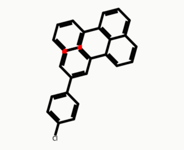 Clc1ccc(-c2cccc(-c3cccc4cccc(-c5ccccc5)c34)c2)cc1